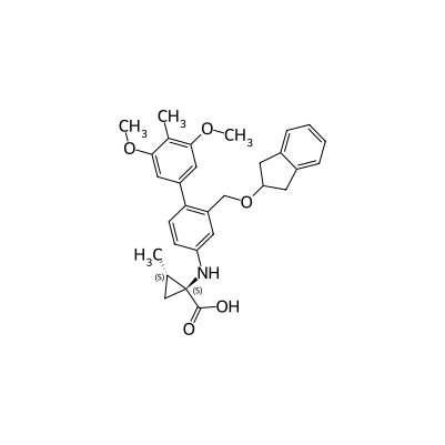 COc1cc(-c2ccc(N[C@@]3(C(=O)O)C[C@@H]3C)cc2COC2Cc3ccccc3C2)cc(OC)c1C